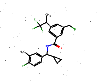 Cc1cc(C(NC(=O)c2cc(CBr)cc(C(C)C(F)(F)F)c2)C2CC2)ccc1F